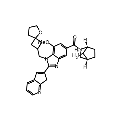 COc1cc(C(=O)N2C[C@H]3CC[C@@H]2[C@@H]3N)cc2nc(C3=Cc4cccnc4C3)n(CC3CC4(CCCO4)C3)c12